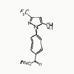 COC(=O)c1ccc(-n2nc(C(F)(F)F)cc2O)cc1